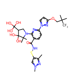 Cc1nn(C)cc1SNC(=O)c1ccc(-n2ccc(OCC(C)(C)C(F)(F)F)n2)nc1N1CC(C(O)(O)O)C(O)(O)C1(C)C